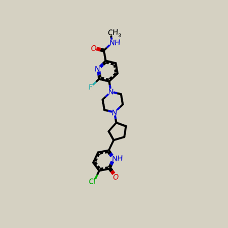 CNC(=O)c1ccc(N2CCN(C3CCC(c4ccc(Cl)c(=O)[nH]4)C3)CC2)c(F)n1